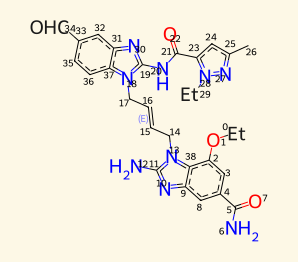 CCOc1cc(C(N)=O)cc2nc(N)n(C/C=C/Cn3c(NC(=O)c4cc(C)nn4CC)nc4cc(C=O)ccc43)c12